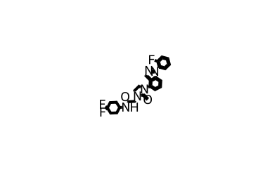 O=C(CN1CCN(c2cccc3c2cnn3-c2ccccc2F)C1=O)NC1CCC(F)(F)CC1